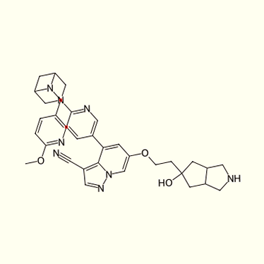 COc1ccc(CN2C3CC2CN(c2ccc(-c4cc(OCCC5(O)CC6CNCC6C5)cn5ncc(C#N)c45)cn2)C3)cn1